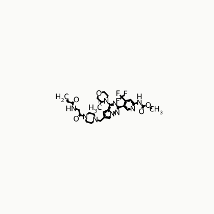 C=CC(=O)NCC(=O)N1CCN(Cc2cc3c(N4CCOC[C@@H]4C)nc(-c4cnc(NC(=O)OC)cc4C(F)(F)F)nn3c2)CC1